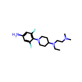 CCN(CCN(C)C)C1CCN(c2c(F)cc(N)cc2F)CC1